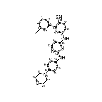 Cc1cccc(-c2nc(Nc3ccnc(Nc4ccc(N5CCOCC5)cc4)n3)ccc2C#N)n1